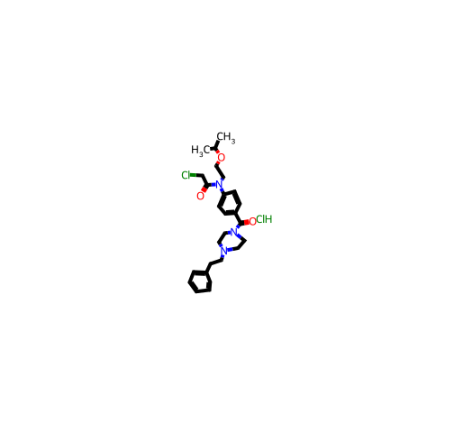 CC(C)OCCN(C(=O)CCl)c1ccc(C(=O)N2CCN(CCc3ccccc3)CC2)cc1.Cl